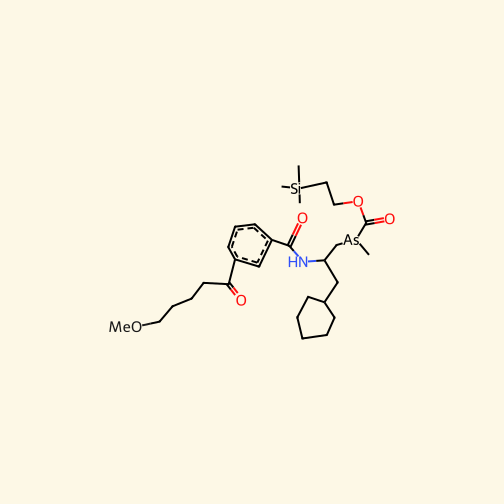 COCCCCC(=O)c1cccc(C(=O)NC(CC2CCCCC2)C[As](C)C(=O)OCC[Si](C)(C)C)c1